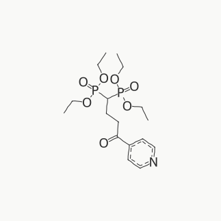 CCOP(=O)(OCC)C(CCC(=O)c1ccncc1)P(=O)(OCC)OCC